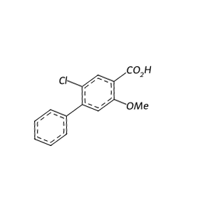 COc1cc(-c2ccccc2)c(Cl)cc1C(=O)O